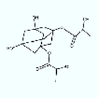 CC(O)C(=O)OC12CC3(O)CC(O)(C1)CC(OC(=O)C(C)O)(C3)C2